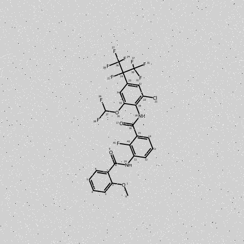 COc1ccccc1C(=O)Nc1cccc(C(=O)Nc2c(Cl)cc(C(F)(C(F)(F)F)C(F)(F)F)cc2OC(F)F)c1F